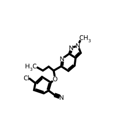 CCCC(Oc1cc(Cl)ccc1C#N)c1ccc2cn(C)nc2n1